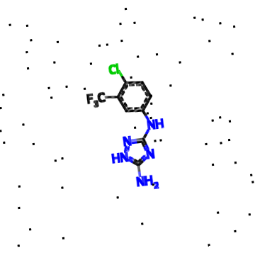 Nc1nc(Nc2ccc(Cl)c(C(F)(F)F)c2)n[nH]1